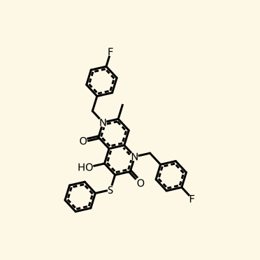 Cc1cc2c(c(O)c(Sc3ccccc3)c(=O)n2Cc2ccc(F)cc2)c(=O)n1Cc1ccc(F)cc1